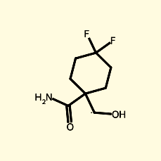 NC(=O)C1([CH]O)CCC(F)(F)CC1